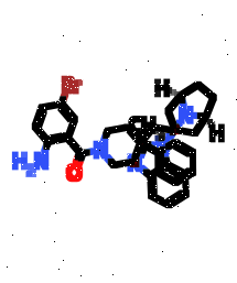 Cc1nc2ccccc2n1[C@H]1C[C@H]2CC[C@@H](C1)N2CCC1(c2ccccc2)CCN(C(=O)c2cc(Br)ccc2N)CC1